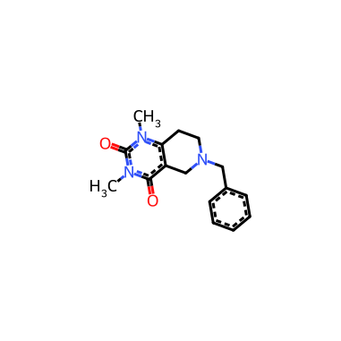 Cn1c2c(c(=O)n(C)c1=O)CN(Cc1ccccc1)CC2